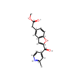 COC(=O)Cc1ccc2oc(C(=O)c3ccnc(C)c3)cc2c1